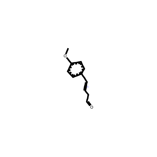 COc1ccc(/C=C/CC=O)cc1